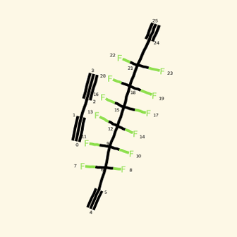 C#CC#C.C#CC(F)(F)C(F)(F)C(F)(F)C(F)(F)C(F)(F)C(F)(F)C#C